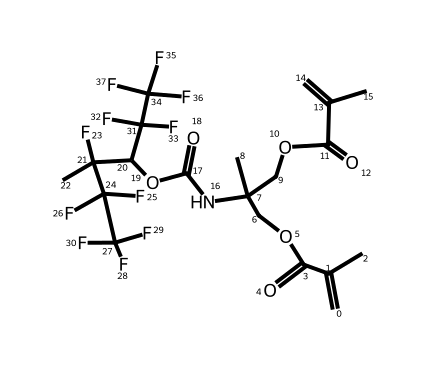 C=C(C)C(=O)OCC(C)(COC(=O)C(=C)C)NC(=O)OC(C(C)(F)C(F)(F)C(F)(F)F)C(F)(F)C(F)(F)F